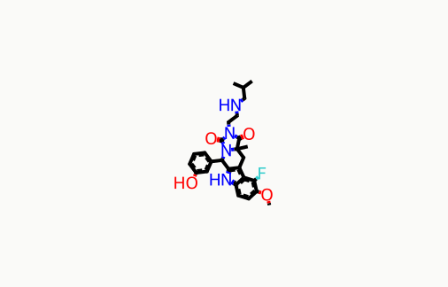 COc1ccc2[nH]c3c(c2c1F)CC1(C)C(=O)N(CCNCC(C)C)C(=O)N1C3c1cccc(O)c1